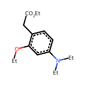 CCOC(=O)Cc1ccc(N(CC)CC)cc1OCC